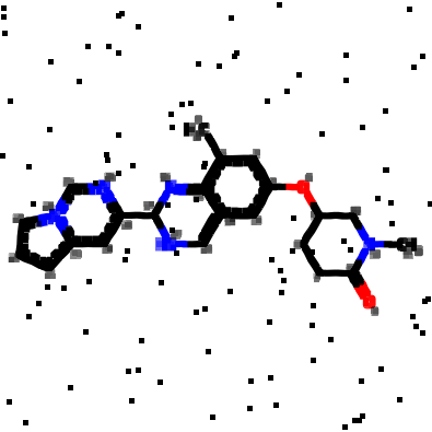 Cc1cc(OC2CCC(=O)N(C)C2)cc2c1=NC(c1cc3cccn3cn1)NC=2